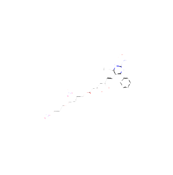 CC(C)c1nc(N(C)S(C)(=O)=O)nc(-c2ccc(F)cc2)c1/C=C/C(O)CC(O)CC(=O)OCC(CCOCCCON(O)O)ON(O)O